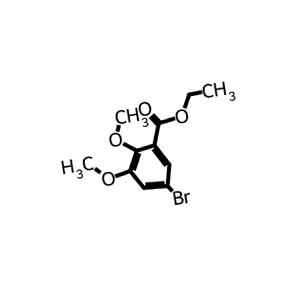 CCOC(=O)c1cc(Br)cc(OC)c1OC